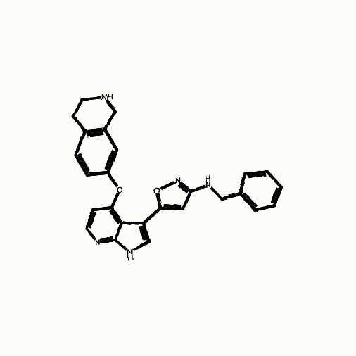 c1ccc(CNc2cc(-c3c[nH]c4nccc(Oc5ccc6c(c5)CNCC6)c34)on2)cc1